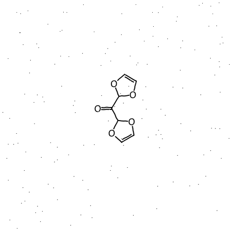 O=C(C1OC=CO1)C1OC=CO1